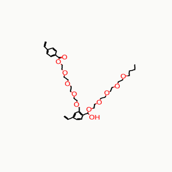 C=Cc1ccc(C(=O)OCCOCCOCCOCCOCc2cc(C=C)ccc2C(O)OCCOCCOCCOCCOCCCC)cc1